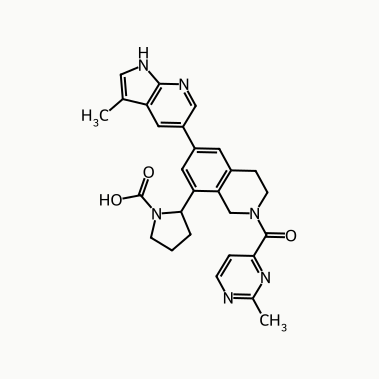 Cc1nccc(C(=O)N2CCc3cc(-c4cnc5[nH]cc(C)c5c4)cc(C4CCCN4C(=O)O)c3C2)n1